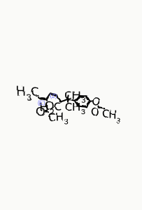 C=C(/C=C\C(=C/C)OC(C)=O)C(C)(C)c1ccc(OC(=O)CC)cc1